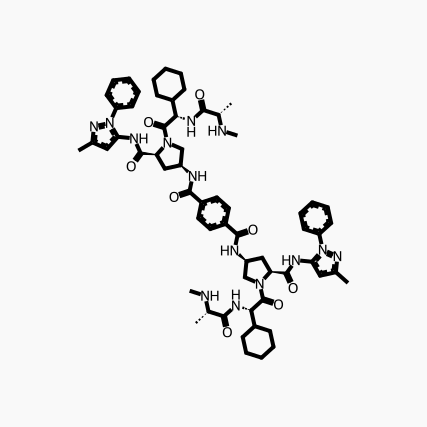 CN[C@@H](C)C(=O)N[C@H](C(=O)N1C[C@@H](NC(=O)c2ccc(C(=O)N[C@H]3C[C@@H](C(=O)Nc4cc(C)nn4-c4ccccc4)N(C(=O)[C@@H](NC(=O)[C@H](C)NC)C4CCCCC4)C3)cc2)C[C@H]1C(=O)Nc1cc(C)nn1-c1ccccc1)C1CCCCC1